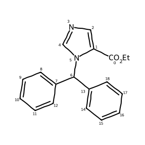 CCOC(=O)c1cncn1C(c1ccccc1)c1ccccc1